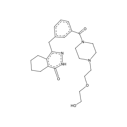 O=C(c1cccc(Cc2n[nH]c(=O)c3c2CCCC3)c1)N1CCN(CCOCCO)CC1